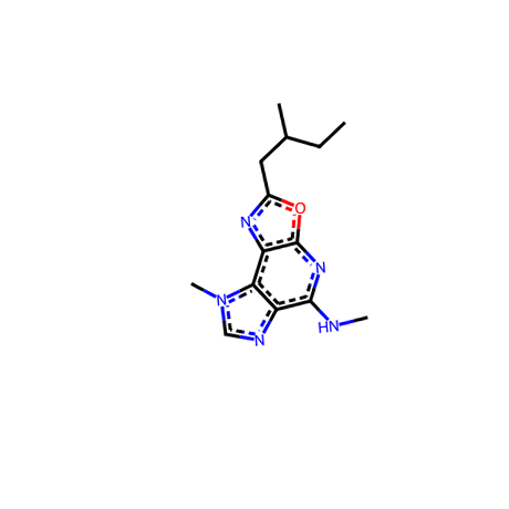 CCC(C)Cc1nc2c(nc(NC)c3ncn(C)c32)o1